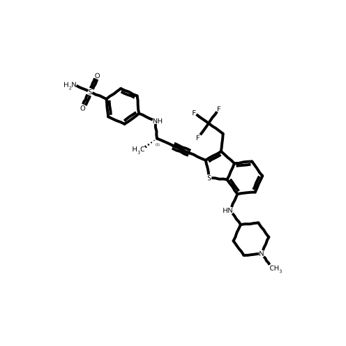 C[C@@H](C#Cc1sc2c(NC3CCN(C)CC3)cccc2c1CC(F)(F)F)Nc1ccc(S(N)(=O)=O)cc1